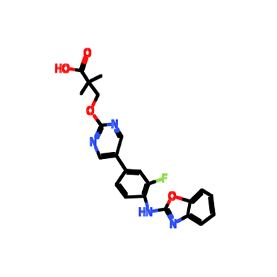 CC(C)(COc1ncc(-c2ccc(Nc3nc4ccccc4o3)c(F)c2)cn1)C(=O)O